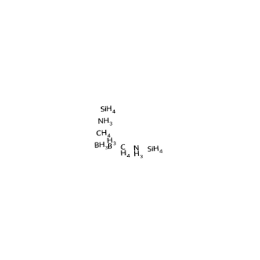 B.B.C.C.N.N.[SiH4].[SiH4]